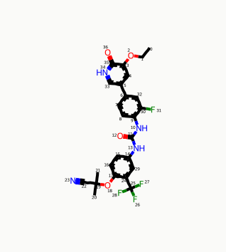 CCOc1cc(-c2ccc(NC(=O)Nc3ccc(OC(C)(C)C#N)c(C(F)(F)F)c3)c(F)c2)c[nH]c1=O